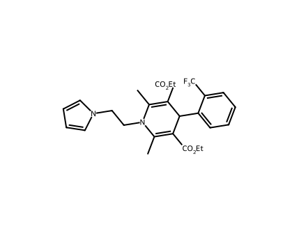 CCOC(=O)C1=C(C)N(CCn2cccc2)C(C)=C(C(=O)OCC)C1c1ccccc1C(F)(F)F